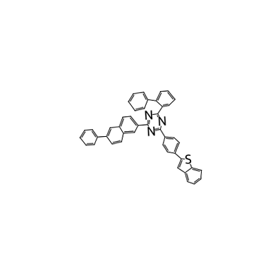 c1ccc(-c2ccc3cc(-c4nc(-c5ccc(-c6cc7ccccc7s6)cc5)nc(-c5ccccc5-c5ccccc5)n4)ccc3c2)cc1